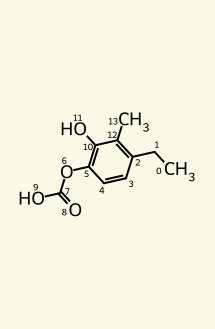 CCc1ccc(OC(=O)O)c(O)c1C